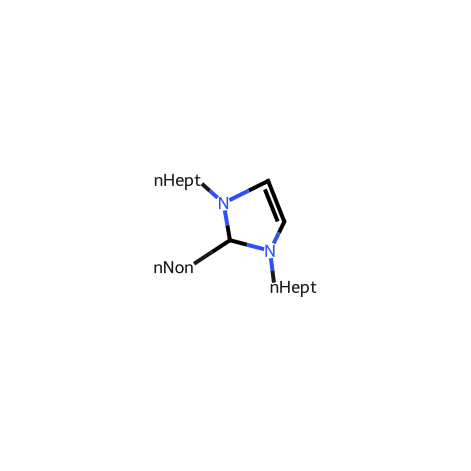 CCCCCCCCCC1N(CCCCCCC)C=CN1CCCCCCC